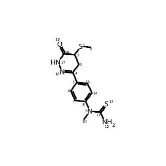 CSC1CC(c2ccc(N(C)C(N)=S)cc2)=NNC1=O